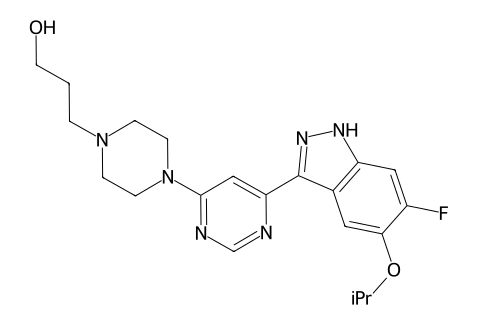 CC(C)Oc1cc2c(-c3cc(N4CCN(CCCO)CC4)ncn3)n[nH]c2cc1F